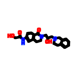 O=C(CO)Nc1ccc2c(c1)CCN(CC(O)CN1CCc3ccccc3C1)C2=O